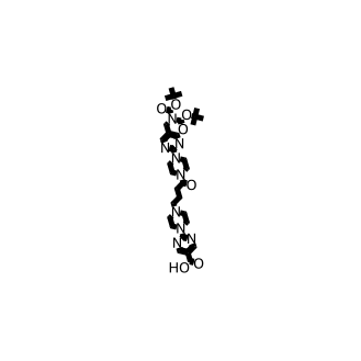 CC(C)(C)OC(=O)N(Cc1cnc(N2CCN(C(=O)CCCN3CCN(c4ncc(C(=O)O)cn4)CC3)CC2)nc1)C(=O)OC(C)(C)C